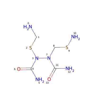 NCSN(C(N)=O)N(CSN)C(N)=O